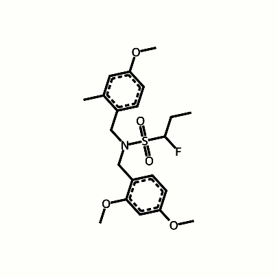 CCC(F)S(=O)(=O)N(Cc1ccc(OC)cc1C)Cc1ccc(OC)cc1OC